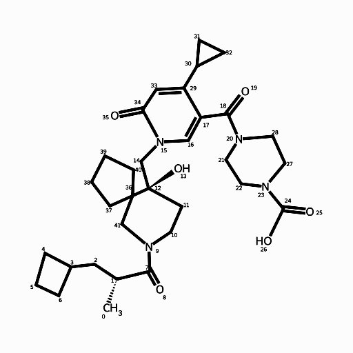 C[C@H](CC1CCC1)C(=O)N1CC[C@@](O)(Cn2cc(C(=O)N3CCN(C(=O)O)CC3)c(C3CC3)cc2=O)C2(CCCC2)C1